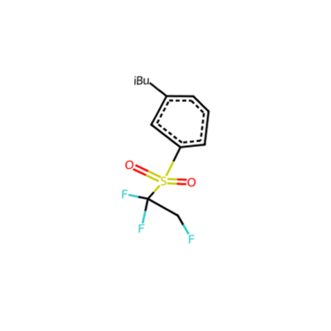 CCC(C)c1cccc(S(=O)(=O)C(F)(F)CF)c1